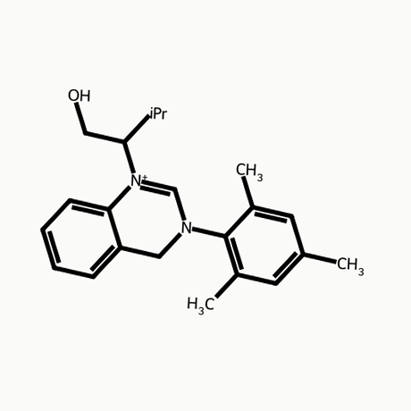 Cc1cc(C)c(N2C=[N+](C(CO)C(C)C)c3ccccc3C2)c(C)c1